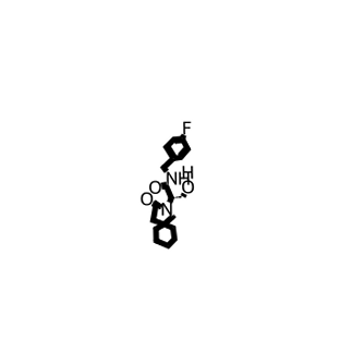 O=C(NCc1ccc(F)cc1)[C@H](CO)N1CC2(CCCCC2)CC1=O